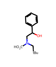 CC(C)(C)CN(CC(O)c1ccccc1)C(=O)O